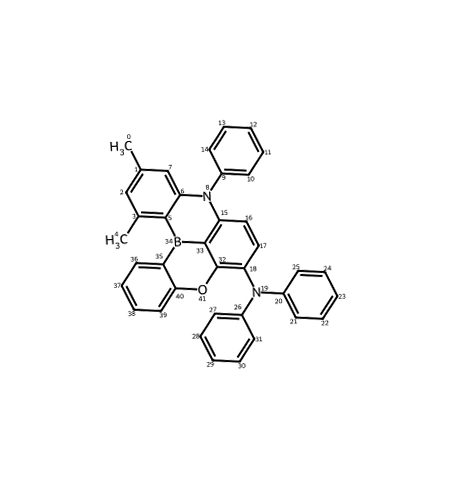 Cc1cc(C)c2c(c1)N(c1ccccc1)c1ccc(N(c3ccccc3)c3ccccc3)c3c1B2c1ccccc1O3